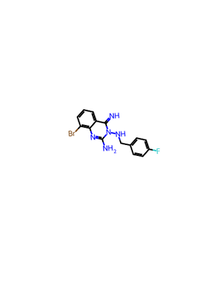 N=c1c2cccc(Br)c2nc(N)n1NCc1ccc(F)cc1